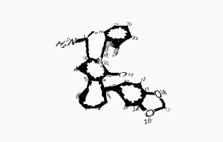 C[C@H](N)c1cc2cccc(-c3ccc4c(c3)OCO4)c2c(=O)n1-c1ccccc1